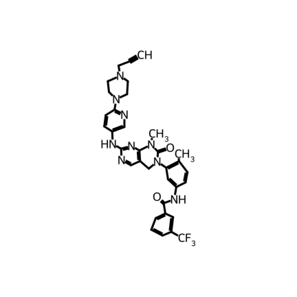 C#CCN1CCN(c2ccc(Nc3ncc4c(n3)N(C)C(=O)N(c3cc(NC(=O)c5cccc(C(F)(F)F)c5)ccc3C)C4)cn2)CC1